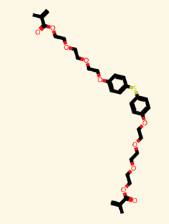 C=C(C)C(=O)OCCOCCOCCOc1ccc(Sc2ccc(OCCOCCOCCOC(=O)C(=C)C)cc2)cc1